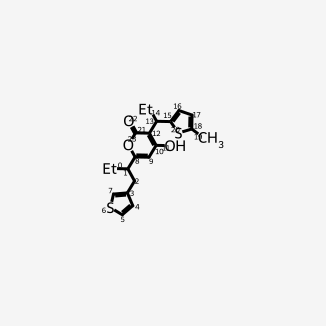 CCC(Cc1ccsc1)c1cc(O)c(C(CC)c2ccc(C)s2)c(=O)o1